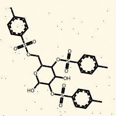 Cc1ccc(S(=O)(=O)OCC2OC(O)C(OS(=O)(=O)c3ccc(C)cc3)C(O)C2OS(=O)(=O)c2ccc(C)cc2)cc1